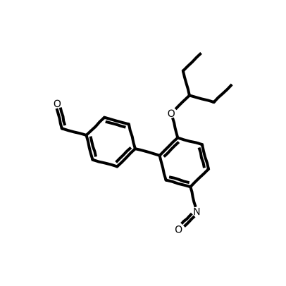 CCC(CC)Oc1ccc(N=O)cc1-c1ccc(C=O)cc1